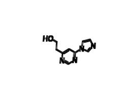 OCCc1cc(-n2ccnc2)ncn1